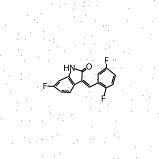 O=C1Nc2cc(F)ccc2C1=Cc1cc(F)ccc1F